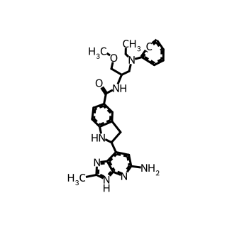 CCN(CC(COC)NC(=O)c1ccc2c(c1)CC(c1cc(N)nc3[nH]c(C)nc13)N2)c1ccccc1